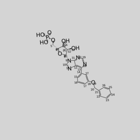 O=P(O)(O)OC[C@H]1O[C@@H](n2cnc3c(-c4cccc(OCc5ccccc5)c4)ncnc32)[C@H](O)[C@@H]1O